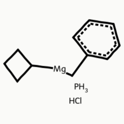 Cl.P.c1ccc([CH2][Mg][CH]2CCC2)cc1